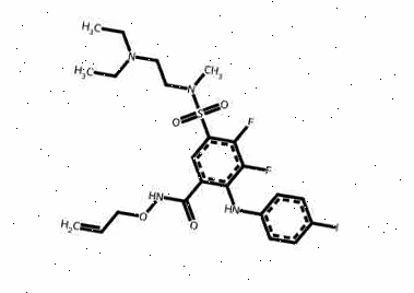 C=CCONC(=O)c1cc(S(=O)(=O)N(C)CCN(CC)CC)c(F)c(F)c1Nc1ccc(I)cc1